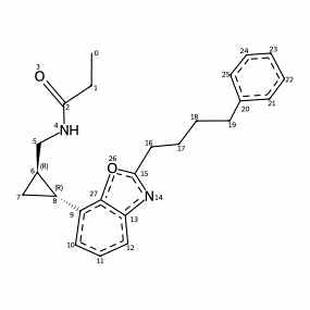 CCC(=O)NC[C@@H]1C[C@H]1c1cccc2nc(CCCCc3ccccc3)oc12